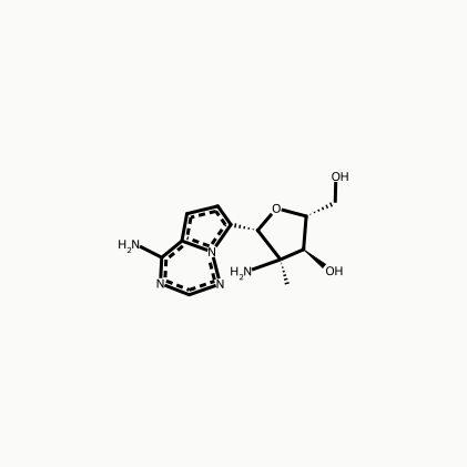 C[C@@]1(N)[C@H](O)[C@@H](CO)O[C@H]1c1ccc2c(N)ncnn12